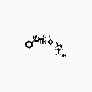 C[C@@H](O)c1nnc(C[C@H]2C[C@@H](NC(O)c3cc(-c4ccccc4)no3)C2)s1